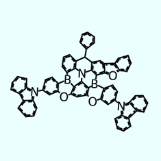 c1ccc(C2c3cccc4c3N3c5c6c(cc7c5B(c5ccc(-n8c9ccccc9c9ccccc98)cc5O7)c5c3c2cc2c5oc3ccccc32)Oc2cc(-n3c5ccccc5c5ccccc53)ccc2B46)cc1